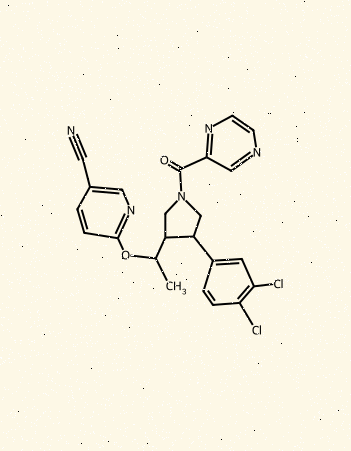 CC(Oc1ccc(C#N)cn1)C1CN(C(=O)c2cnccn2)CC1c1ccc(Cl)c(Cl)c1